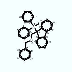 C[Si](c1ccccc1)(c1ccccc1)C1(COCc2ccccc2)c2ccccc2-c2ccccc21